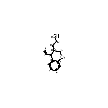 O=CC1c2ccccc2OCN1CCS